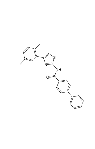 Cc1ccc(C)c(-c2csc(NC(=O)c3ccc(-c4ccccc4)cc3)n2)c1